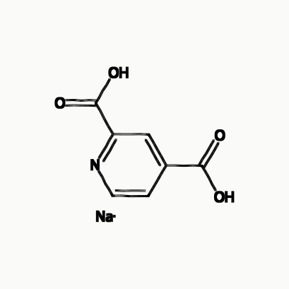 O=C(O)c1ccnc(C(=O)O)c1.[Na]